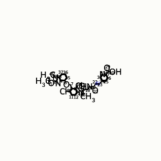 COc1nc2c(OCc3c(Cl)ccc(N(C)C(=O)CNC(=O)/C=C/c4ccc(C(=O)O)nc4)c3Cl)cccc2n1C